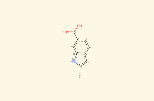 O=C(O)c1ccc2cc(Cl)[nH]c2c1